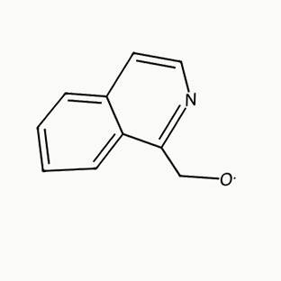 [O]Cc1nccc2ccccc12